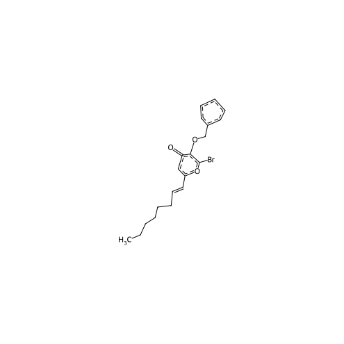 CCCCCCC=Cc1cc(=O)c(OCc2ccccc2)c(Br)o1